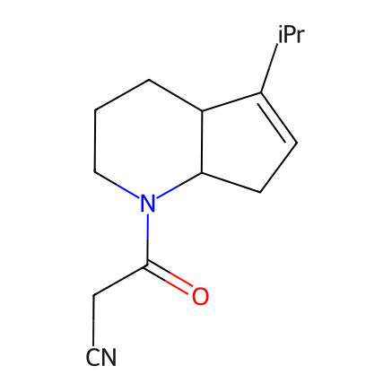 CC(C)C1=CCC2C1CCCN2C(=O)CC#N